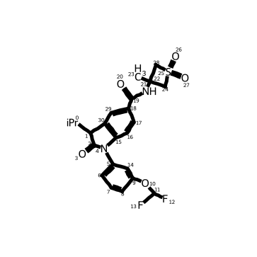 CC(C)C1C(=O)N(c2cccc(OC(F)F)c2)c2ccc(C(=O)NC3(C)CS(=O)(=O)C3)cc21